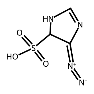 [N-]=[N+]=C1N=CNC1S(=O)(=O)O